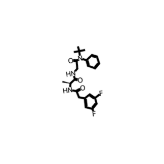 C[C@H](NC(=O)Cc1cc(F)cc(F)c1)C(=O)NCC(=O)N(c1ccccc1)C(C)(C)C